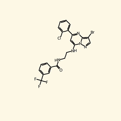 O=C(NCCNc1cc(-c2ccccc2Cl)nc2c(Br)cnn12)c1cccc(C(F)(F)F)c1